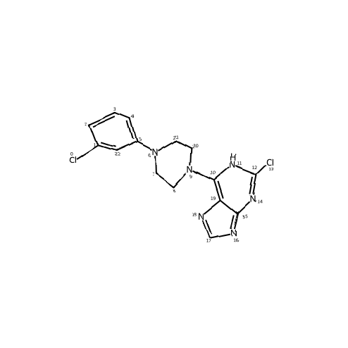 Clc1cccc(N2CCN(c3[nH]c(Cl)nc4ncnc3-4)CC2)c1